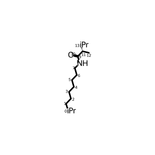 CC(C)CCCCCCCNC(=O)[C@@H](C)C(C)C